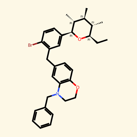 CC[C@H]1O[C@@H](c2ccc(Br)c(Cc3ccc4c(c3)N(Cc3ccccc3)CCO4)c2)[C@H](C)[C@@H](C)[C@@H]1C